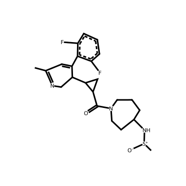 CC1=NCC(C2CC2C(=O)N2CCCC(N[S+](C)[O-])CC2)C(c2c(F)cccc2F)=C1